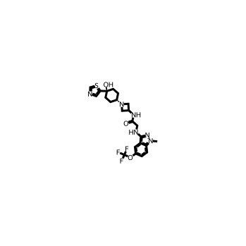 Cn1nc(NCC(=O)NC2CN([C@H]3CC[C@@](O)(c4cncs4)CC3)C2)c2cc(OC(F)(F)F)ccc21